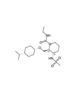 CCNC(=O)N1CCC[C@H](NS(C)(=O)=O)[C@H]1CO[C@H]1CC[C@@H](C(C)C)CC1